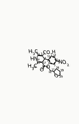 CC1=C(C(=O)O)C(c2ccc([N+](=O)[O-])cc2)C(C(=O)OCC2CCCO2)=C(C)N1